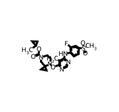 Cc1c(Nc2ccc(S(C)(=O)=O)cc2F)ncnc1ON1CCN(C(=O)OC2(C)CC2)CC12CC2